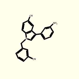 N#Cc1cccc(Cn2cc(-c3cccc(N)c3)c3cc(C#N)ccc32)c1